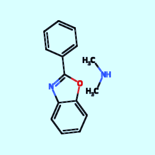 CNC.c1ccc(-c2nc3ccccc3o2)cc1